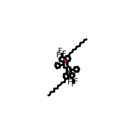 CCCCCCCCCCc1ccc(N2C3=CC(c4ccccc4)(c4ccc(C(F)(F)F)cc4)N(c4ccc(CCCCCCCCCC)cc4)C3=CC2(c2ccccc2)c2ccc(C(F)(F)F)cc2)cc1